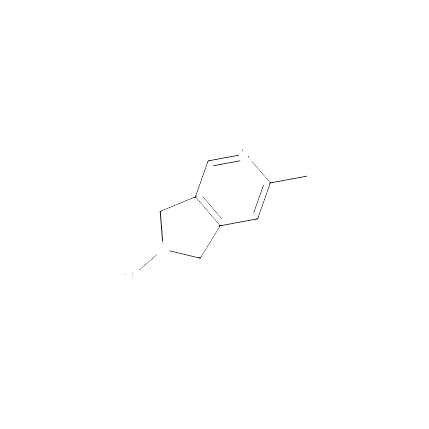 Cc1cc2c(cn1)CB(C(C)C)C2